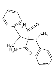 CC(c1ccccc1)C(C(N)=O)(C(N)=O)C(C)c1ccccc1